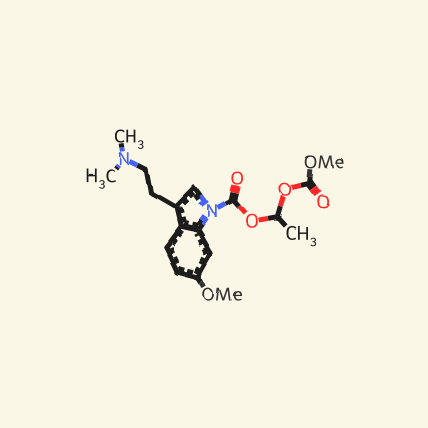 COC(=O)OC(C)OC(=O)n1cc(CCN(C)C)c2ccc(OC)cc21